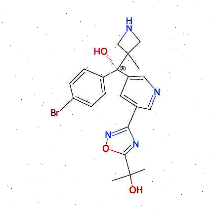 CC(C)(O)c1nc(-c2cncc([C@@](O)(c3ccc(Br)cc3)C3(C)CNC3)c2)no1